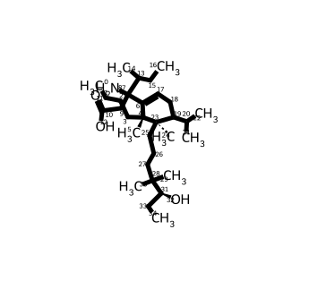 CCCC[C@]1(C)C(C(N)(CC(=O)O)C(C)CC)=CCC(C(C)C)[C@@]1(C)CCCC(C)(C)[C@@H](O)CC